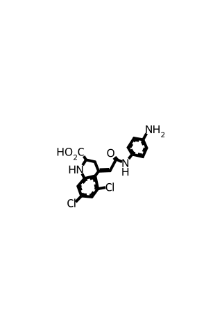 Nc1ccc(NC(=O)C=C2CC(C(=O)O)Nc3cc(Cl)cc(Cl)c32)cc1